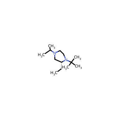 CC[C@@H]1CN(C(C)C)CCN1C(C)(C)C